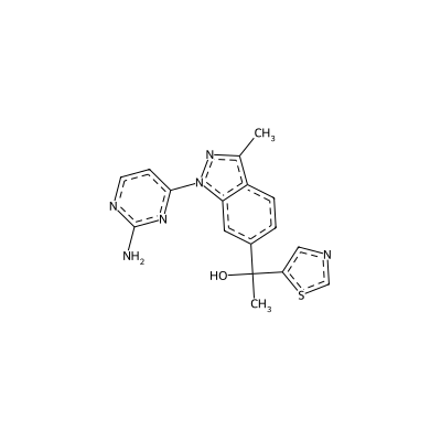 Cc1nn(-c2ccnc(N)n2)c2cc(C(C)(O)c3cncs3)ccc12